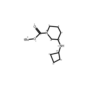 CC(C)(C)OC(=O)N1CCCC(NC2CCC2)C1